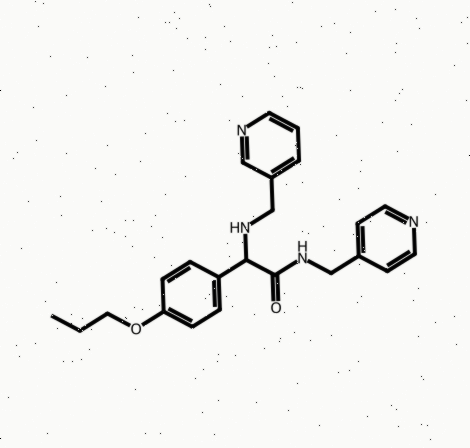 CCCOc1ccc(C(NCc2cccnc2)C(=O)NCc2ccncc2)cc1